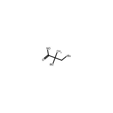 CCC(C)C(C)(CC(C)(C)C)C(=O)N=O